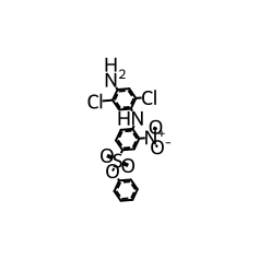 Nc1cc(Cl)c(Nc2ccc(S(=O)(=O)Oc3ccccc3)cc2[N+](=O)[O-])cc1Cl